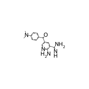 CN(C)c1ccc(C(=O)c2cnc(N)c(C(=N)N)c2)cc1